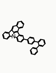 c1ccc(-c2ccccc2-c2ccc(-c3ccc4c(c3)c3c5ccccc5cc5c6ccccc6n4c53)cc2)cc1